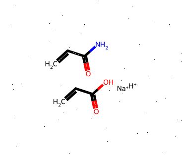 C=CC(=O)O.C=CC(N)=O.[H+].[Na+]